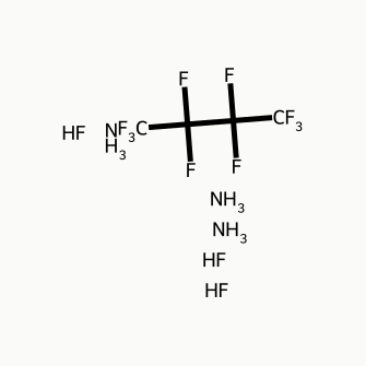 F.F.F.FC(F)(F)C(F)(F)C(F)(F)C(F)(F)F.N.N.N